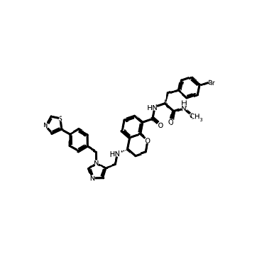 CNC(=O)[C@H](Cc1ccc(Br)cc1)NC(=O)c1cccc2c1OCC[C@@H]2NCc1cncn1Cc1ccc(-c2cncs2)cc1